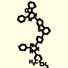 C=C/C=C\C(=C/C)c1nc(-c2ccccc2)nc(-c2ccc(-c3cccc4c3sc3cc(-c5nc(-c6ccccc6)c6oc7ccccc7c6n5)ccc34)cc2)n1